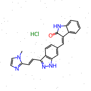 Cl.Cn1ccnc1/C=C/c1n[nH]c2cc(/C=C3\C(=O)Nc4ccccc43)ccc12